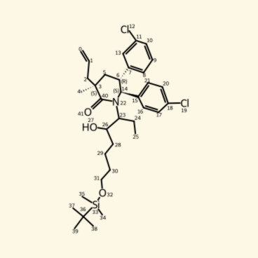 C=CC[C@@]1(C)C[C@H](c2cccc(Cl)c2)[C@@H](c2ccc(Cl)cc2)N(C(CC)C(O)CCCCO[Si](C)(C)C(C)(C)C)C1=O